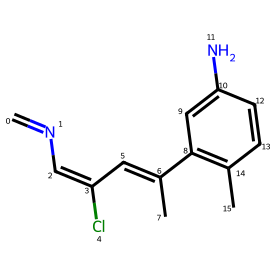 C=N/C=C(Cl)\C=C(/C)c1cc(N)ccc1C